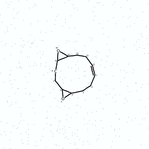 C1=CCCC2OC2CCC2OC2CC1